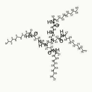 CCCCCCCCCCC(C)NC(=O)CCNCCN(CCC(=O)NC(C)CCCCCCCCCC)CCN(CCNCCC(=O)NC(C)CCCCCCCCCC)CCC(=O)NC(C)CCCCCCCCCC